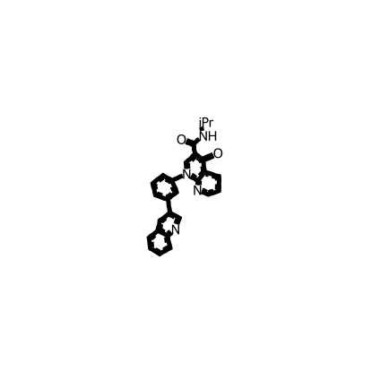 CC(C)NC(=O)c1cn(-c2cccc(-c3cnc4ccccc4c3)c2)c2ncccc2c1=O